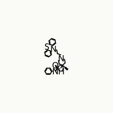 C#CC1(OC(=O)Nc2ccccc2)CCN(CCCN2c3ccccc3Sc3ccccc32)CC1